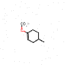 CC1CC=C(OC(=O)O)CC1